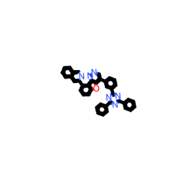 c1ccc(-c2nc(-c3ccccc3)nc(-c3cccc(-c4cnnc5c4oc4cccc(-c6cc7ccccc7cn6)c45)c3)n2)cc1